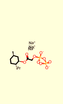 CC(C)[C@@H]1CC[C@@H](C)C[C@H]1OC(=O)COP(=O)([O-])OP(=O)([O-])[O-].[Na+].[Na+].[Na+]